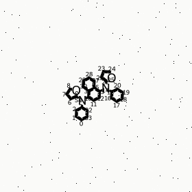 c1ccc(N(c2ccco2)c2ccc(N(c3ccccc3)c3ccco3)c3ccccc23)cc1